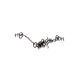 Cc1nc(NS(=O)(=O)c2ccc(OCCCCCCCCCCCCCCCC(=O)O)cc2)ncc1C(=O)NCCOCCOCC(=O)NCCOCCOCC(=O)O